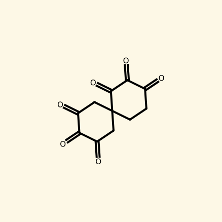 O=C1CC2(CCC(=O)C(=O)C2=O)CC(=O)C1=O